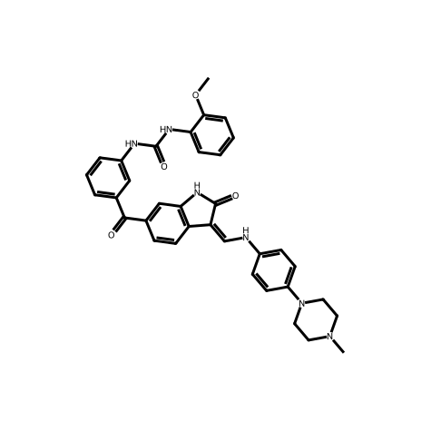 COc1ccccc1NC(=O)Nc1cccc(C(=O)c2ccc3c(c2)NC(=O)C3=CNc2ccc(N3CCN(C)CC3)cc2)c1